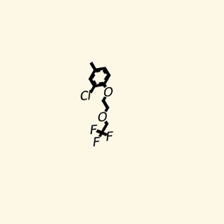 Cc1ccc(OCCOCC(F)(F)F)c(Cl)c1